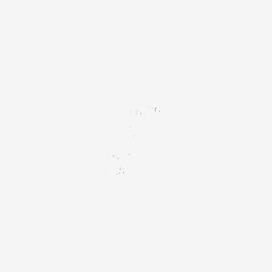 CC(=N)NCCCCCC(=O)NO